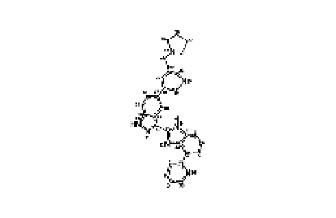 c1ccc(-c2cccc3[nH]c(-c4n[nH]c5ccc(-c6cncc(CN7CCCC7)c6)cc45)nc23)nc1